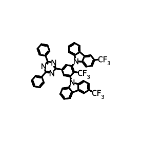 FC(F)(F)c1ccc2c(c1)c1ccccc1n2-c1cc(-c2nc(-c3ccccc3)nc(-c3ccccc3)n2)cc(-n2c3ccccc3c3cc(C(F)(F)F)ccc32)c1C(F)(F)F